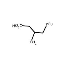 [CH2]C(CCCCC)CC(=O)O